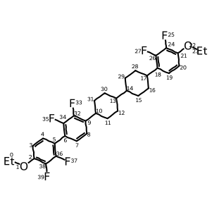 CCOc1ccc(-c2ccc(C3CCC(C4CCC(c5ccc(OCC)c(F)c5F)CC4)CC3)c(F)c2F)c(F)c1F